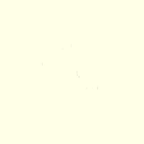 CC(O)C(c1ccccc1Cl)C1(NC(=O)O)CCCCC1